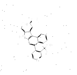 C=C/C=c1\c(=C/C)[nH]c2cc(-c3ccncc3C(C)(C)O)c3ccccc3c12